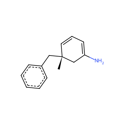 C[C@@]1(Cc2ccccc2)C=CC=C(N)C1